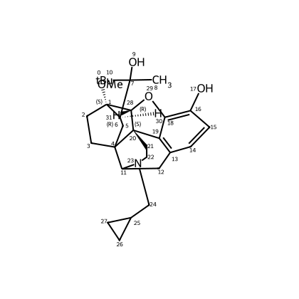 CO[C@@]12CCC3(C[C@@H]1C(C)(O)C(C)(C)C)C1Cc4ccc(O)c5c4[C@@]3(CCN1CC1CC1)[C@H]2O5